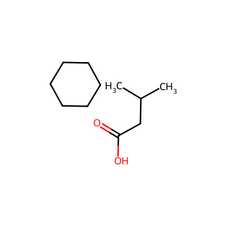 C1CCCCC1.CC(C)CC(=O)O